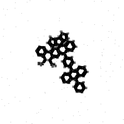 CCc1ccccc1-c1cc2c(cc1CC)N(c1ccc(-c3c4ccccc4c(-c4ccccc4)c4ccccc34)cc1)c1ccccc1C21c2ccoc2-c2occc21